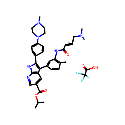 Cc1ccc(-c2c(-c3ccc(N4CCN(C)CC4)cc3)[nH]c3ncc(C(=O)OC(C)C)cc23)cc1NC(=O)/C=C/CN(C)C.O=C(O)C(F)(F)F